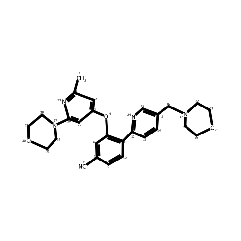 Cc1cc(Oc2cc(C#N)ccc2-c2ccc(CN3CCOCC3)cn2)cc(N2CCOCC2)n1